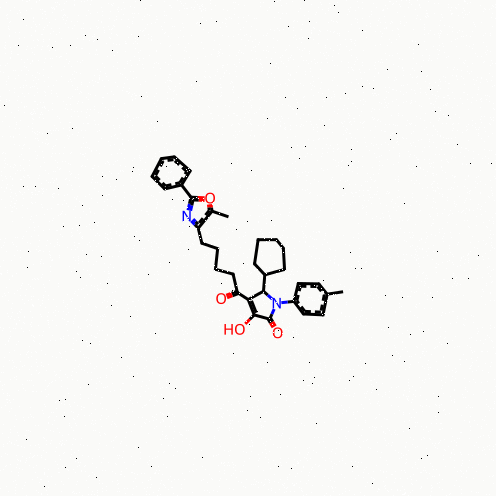 Cc1ccc(N2C(=O)C(O)=C(C(=O)CCCCc3nc(-c4ccccc4)oc3C)C2C2CCCCC2)cc1